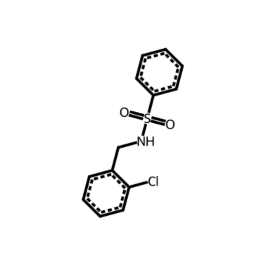 O=S(=O)(NCc1ccccc1Cl)c1ccccc1